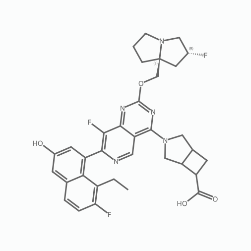 CCc1c(F)ccc2cc(O)cc(-c3ncc4c(N5CC6CC(C(=O)O)C6C5)nc(OC[C@@]56CCCN5C[C@H](F)C6)nc4c3F)c12